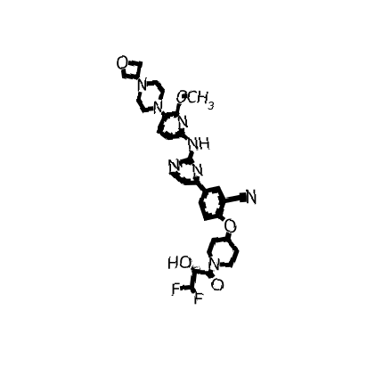 COc1nc(Nc2nccc(-c3ccc(OC4CCN(C(=O)[C@H](O)C(F)F)CC4)c(C#N)c3)n2)ccc1N1CCN(C2COC2)CC1